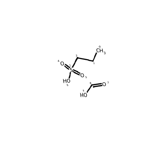 CCCS(=O)(=O)O.O=CO